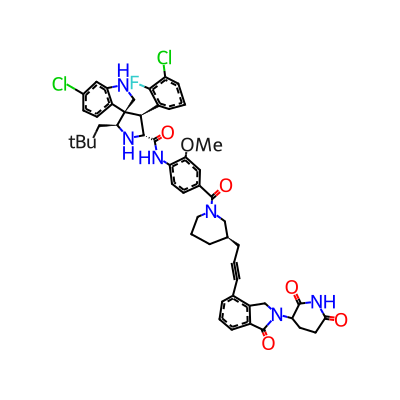 COc1cc(C(=O)N2CCC[C@H](CC#Cc3cccc4c3CN(C3CCC(=O)NC3=O)C4=O)C2)ccc1NC(=O)[C@@H]1N[C@@H](CC(C)(C)C)[C@@]2(CNc3cc(Cl)ccc32)[C@H]1c1cccc(Cl)c1F